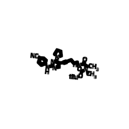 C[C@@H](C(=O)NCCCC#Cc1cnc(Nc2ccc(C#N)cc2)nc1N1CCCC1)N(C)C(=O)OC(C)(C)C